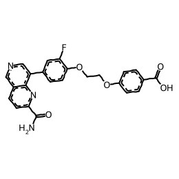 NC(=O)c1ccc2cncc(-c3ccc(OCCOc4ccc(C(=O)O)cc4)c(F)c3)c2n1